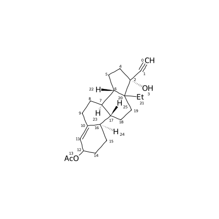 C#C[C@]1(O)CC[C@H]2[C@@H]3CCC4=CC(OC(C)=O)CC[C@@H]4[C@H]3CCC21CC